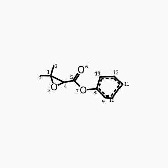 CC1(C)OC1C(=O)Oc1ccccc1